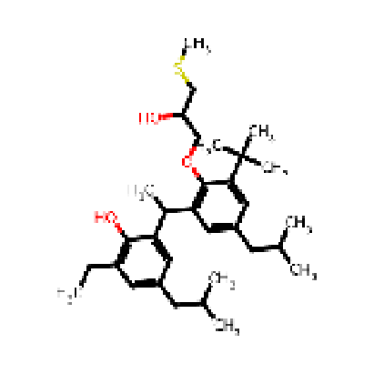 CCc1cc(CC(C)C)cc(C(C)c2cc(CC(C)C)cc(C(C)(C)C)c2OCC(O)CSC)c1O